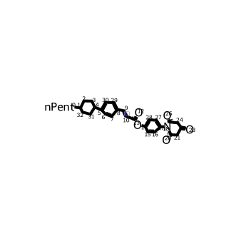 CCCCCC1CCC(c2ccc(/C=C/C(=O)Oc3ccc(N4C(=O)CC(=O)CC4=O)cc3)cc2)CC1